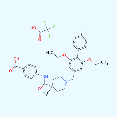 CCOc1cc(CN2CCC(C)(C(=O)Nc3ccc(C(=O)O)cc3)CC2)cc(OCC)c1-c1ccc(F)cc1.O=C(O)C(F)(F)F